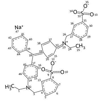 CCN(Cc1cccc(S(=O)(=O)[O-])c1)c1ccc(C(=C2C=CC(=[N+](CC)Cc3cccc(S(=O)(=O)[O-])c3)C=C2)c2ccccc2)cc1.[Na+]